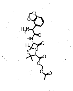 CC(=O)OCOC(=O)[C@@H]1N2C(=O)[C@@H](NC(=O)C(N)c3cccc4c3OCO4)[C@H]2SC1(C)C